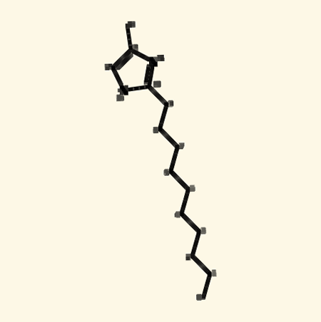 CCCCCCCCCCC1=NC(C)=C[N]1